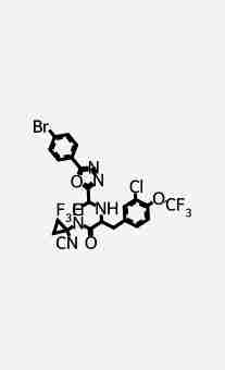 N#CC1(NC(=O)C(Cc2ccc(OC(F)(F)F)c(Cl)c2)NC(c2nnc(-c3ccc(Br)cc3)o2)C(F)(F)F)CC1